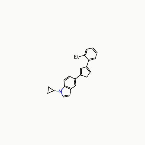 CCc1ccccc1C1=CCC(c2ccc3c(ccn3C3CC3)c2)=C1